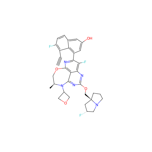 C#Cc1c(F)ccc2cc(O)cc(-c3nc4c5c(nc(OC[C@@]67CCCN6C[C@H](F)C7)nc5c3F)N(C3COC3)[C@@H](C)CO4)c12